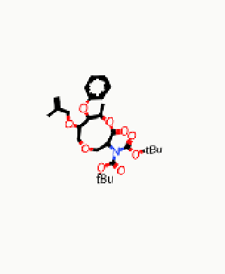 C=C(C)COC1COCC(N(C(=O)OC(C)(C)C)C(=O)OC(C)(C)C)C(=O)OC(C)C1Oc1ccccc1